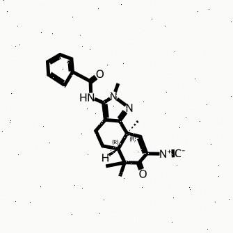 [C-]#[N+]C1=C[C@]2(C)c3nn(C)c(NC(=O)c4ccccc4)c3CC[C@H]2C(C)(C)C1=O